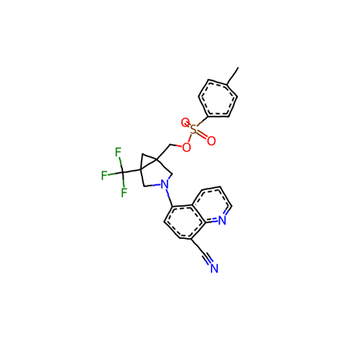 Cc1ccc(S(=O)(=O)OCC23CN(c4ccc(C#N)c5ncccc45)CC2(C(F)(F)F)C3)cc1